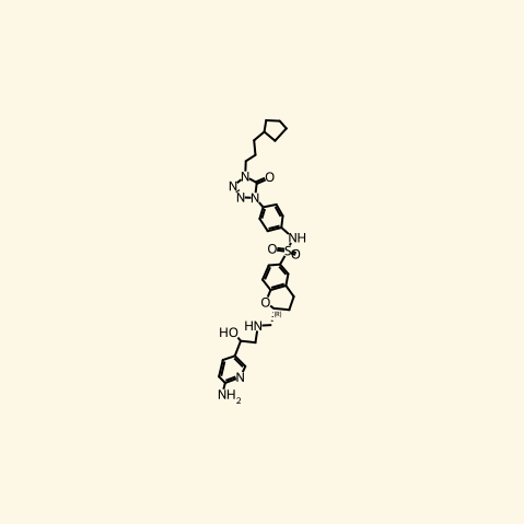 Nc1ccc(C(O)CNC[C@H]2CCc3cc(S(=O)(=O)Nc4ccc(-n5nnn(CCCC6CCCC6)c5=O)cc4)ccc3O2)cn1